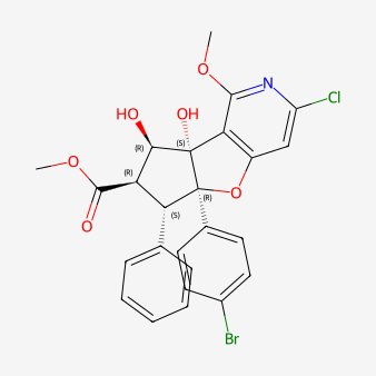 COC(=O)[C@H]1[C@@H](O)[C@@]2(O)c3c(cc(Cl)nc3OC)O[C@@]2(c2ccc(Br)cc2)[C@@H]1c1ccccc1